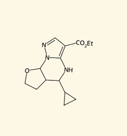 CCOC(=O)c1cnn2c1NC(C1CC1)C1CCOC12